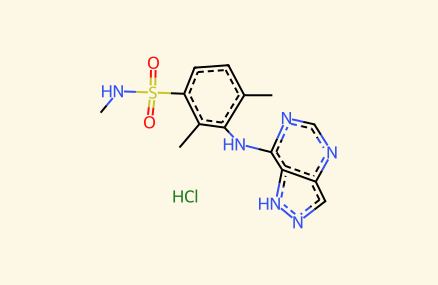 CNS(=O)(=O)c1ccc(C)c(Nc2ncnc3cn[nH]c23)c1C.Cl